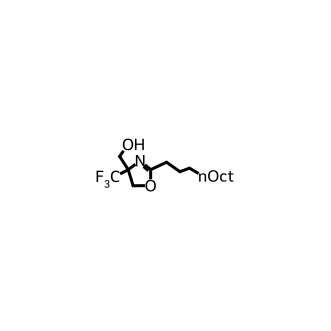 CCCCCCCCCCCC1=NC(CO)(C(F)(F)F)CO1